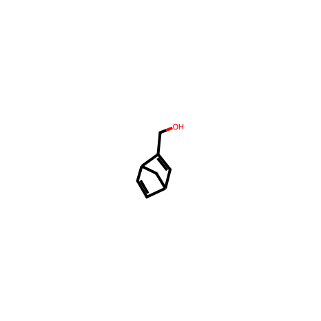 OCC1=CC2C=CC1C2